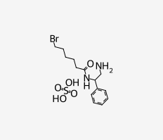 NCC(NC(=O)CCCCCBr)c1ccccc1.O=S(=O)(O)O